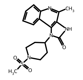 Cc1nc2ccccc2c2c1[nH]c(=O)n2C1CCN(S(C)(=O)=O)CC1